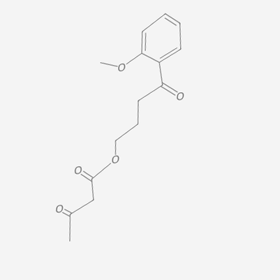 COc1ccccc1C(=O)CCCOC(=O)CC(C)=O